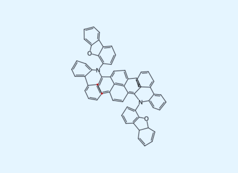 C1=CC2Oc3c(cccc3N(c3ccccc3-c3ccccc3)c3ccc4ccc5c(N(c6ccccc6-c6ccccc6)c6cccc7c6oc6ccccc67)ccc6ccc3c4c65)C2C=C1